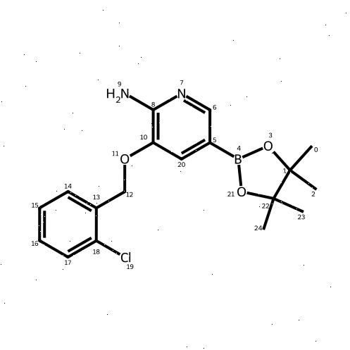 CC1(C)OB(c2cnc(N)c(OCc3ccccc3Cl)c2)OC1(C)C